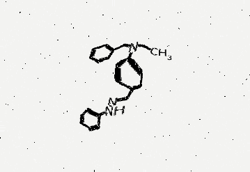 CCN(Cc1ccccc1)c1ccc(C=NNc2ccccc2)cc1